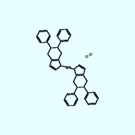 C1=C[CH]([Zr+2][CH]2C=CC3=C2CC(c2ccccc2)C(c2ccccc2)C3)C2=C1CC(c1ccccc1)C(c1ccccc1)C2.[Cl-].[Cl-]